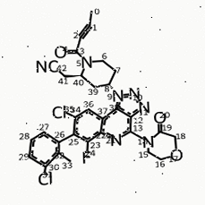 CC#CC(=O)N1CC[C@H](n2nnc3c(N4CCOCC4=O)nc4c(F)c(-c5cccc(Cl)c5C)c(Cl)cc4c32)C[C@H]1CC#N